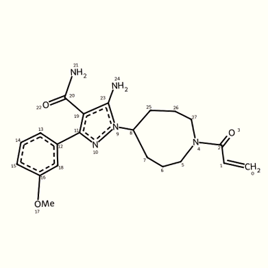 C=CC(=O)N1CCCC(n2nc(-c3cccc(OC)c3)c(C(N)=O)c2N)CCC1